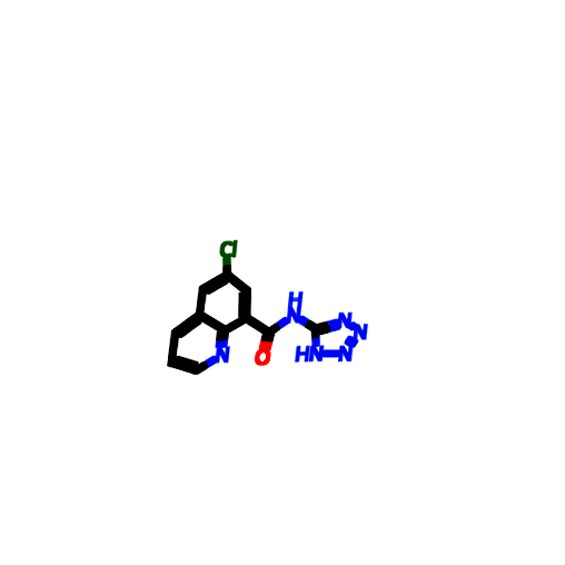 O=C(Nc1nnn[nH]1)c1cc(Cl)cc2cccnc12